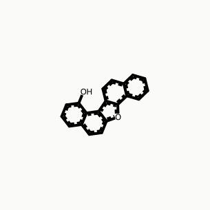 Oc1cccc2ccc3oc4c5ccccc5ccc4c3c12